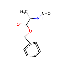 C[C@H](NC=O)C(=O)OCc1ccccc1